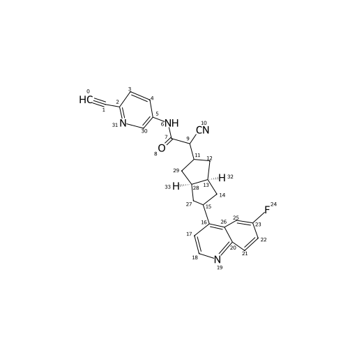 C#Cc1ccc(NC(=O)C(C#N)C2C[C@H]3CC(c4ccnc5ccc(F)cc45)C[C@H]3C2)cn1